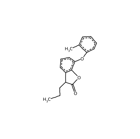 CCCC1C(=O)Oc2c(Oc3ccccc3C)cccc21